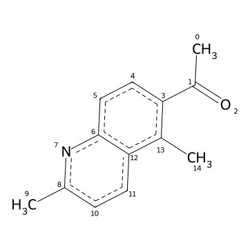 CC(=O)c1ccc2nc(C)ccc2c1C